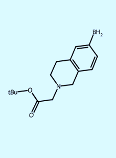 Bc1ccc2c(c1)CCN(CC(=O)OC(C)(C)C)C2